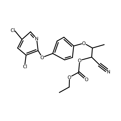 CCOC(=O)OC(C#N)C(C)Oc1ccc(Oc2ncc(Cl)cc2Cl)cc1